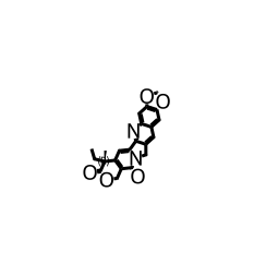 CC[C@@]1(C)C(=O)OCc2c1cc1n(c2=O)Cc2cc3cc4c(cc3nc2-1)OCO4